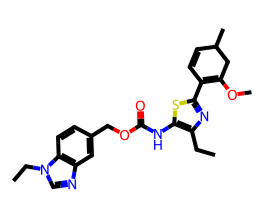 CCc1nc(C2=C(OC)CC(C)C=C2)sc1NC(=O)OCc1ccc2c(c1)ncn2CC